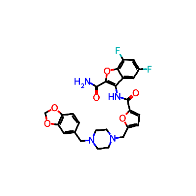 NC(=O)c1oc2c(F)cc(F)cc2c1NC(=O)c1ccc(CN2CCN(Cc3ccc4c(c3)OCO4)CC2)o1